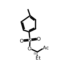 CC[C@H](OS(=O)(=O)c1ccc(C)cc1)C(C)=O